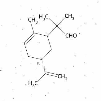 C=C(C)[C@@H]1CC=C(C)C(C(C)(C)C=O)C1